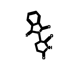 O=C1CCC(N2C(=O)c3ccccc3C2=S)C(=O)N1